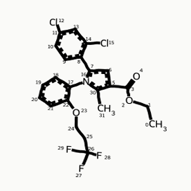 CCOC(=O)c1cc(-c2ccc(Cl)cc2Cl)n(-c2ccccc2OCCC(F)(F)F)c1C